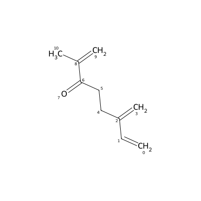 C=CC(=C)CCC(=O)C(=C)C